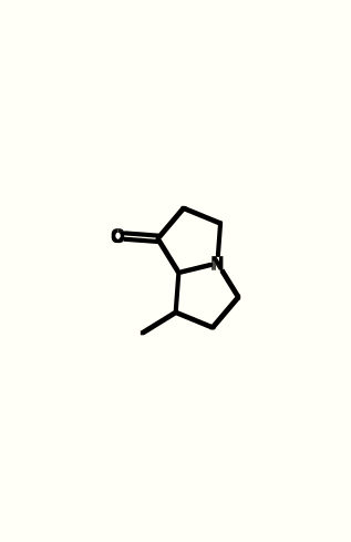 CC1CCN2CCC(=O)C12